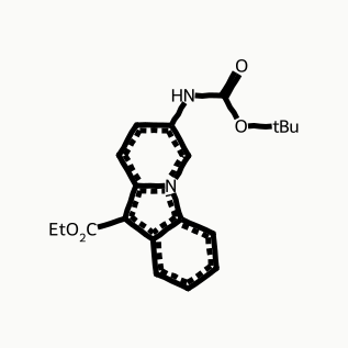 CCOC(=O)c1c2ccccc2n2cc(NC(=O)OC(C)(C)C)ccc12